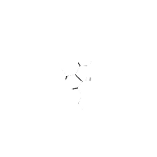 CCOC(=O)/C(N)=C(\C(C)=O)C(=O)OC